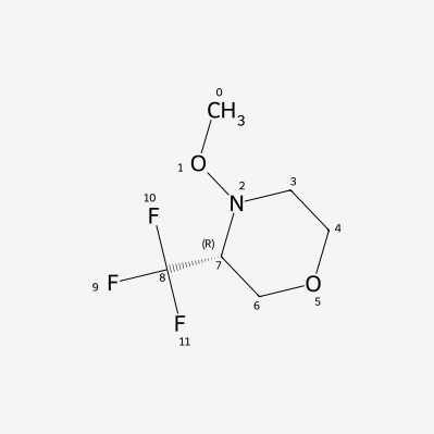 CON1CCOC[C@@H]1C(F)(F)F